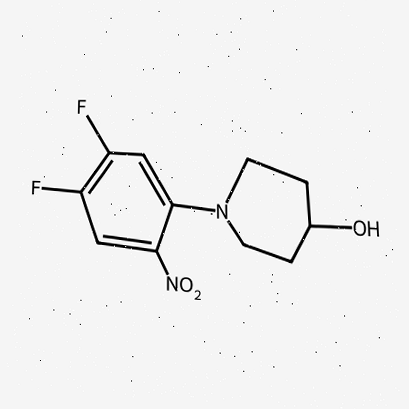 O=[N+]([O-])c1cc(F)c(F)cc1N1CCC(O)CC1